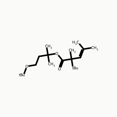 CC(C)=CC(C)(C(=O)OC(C)(C)CCOC(C)(C)C)C(C)(C)C